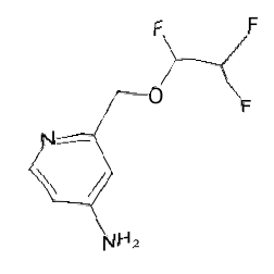 Nc1ccnc(COC(F)C(F)F)c1